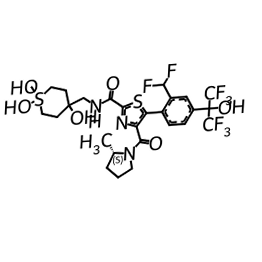 C[C@H]1CCCN1C(=O)c1nc(C(=O)NCC2(O)CCS(O)(O)CC2)sc1-c1ccc(C(O)(C(F)(F)F)C(F)(F)F)cc1C(F)F